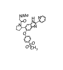 CNCC(=O)N1CCCC1c1cc2[nH]c(-c3ccccn3)nc2cc1Oc1ccc(S(C)(=O)=O)cc1